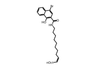 CCCCCCCC/C=C\CCCCCCCCNC(=O)c1cc(Br)c2ccccc2c1O